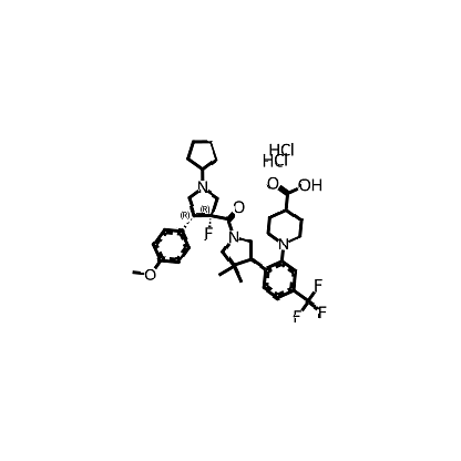 COc1ccc([C@@H]2CN(C3CCCC3)C[C@@]2(F)C(=O)N2CC(c3ccc(C(F)(F)F)cc3N3CCC(C(=O)O)CC3)C(C)(C)C2)cc1.Cl.Cl